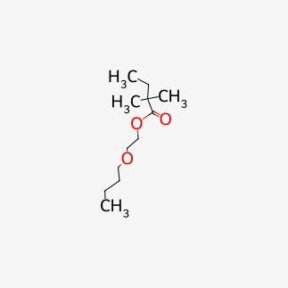 CCCCOCCOC(=O)C(C)(C)CC